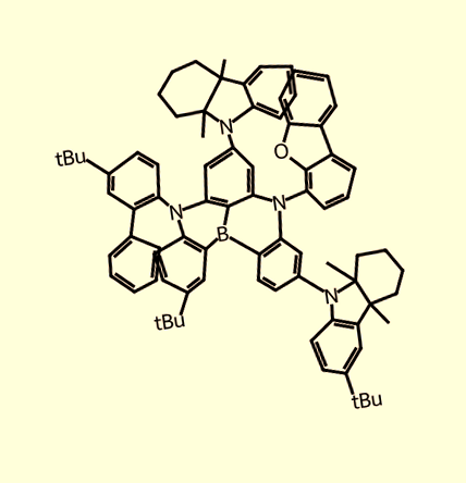 CC(C)(C)c1ccc2c(c1)B1c3ccc(N4c5ccc(C(C)(C)C)cc5C5(C)CCCCC45C)cc3N(c3cccc4c3oc3ccccc34)c3cc(N4c5ccccc5C5(C)CCCCC45C)cc(c31)N2c1ccc(C(C)(C)C)cc1-c1ccccc1